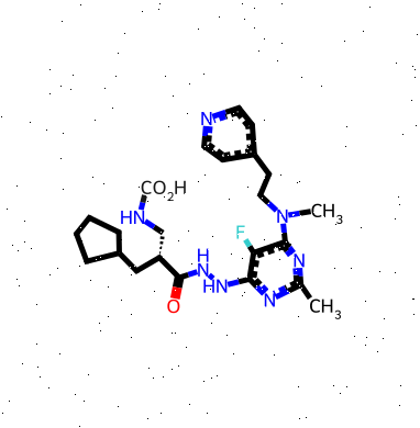 Cc1nc(NNC(=O)[C@@H](CNC(=O)O)CC2CCCC2)c(F)c(N(C)CCc2ccncc2)n1